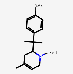 CCCCCN1CC=C(C)CC1C(C)(C)c1ccc(OC)cc1